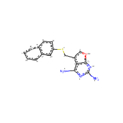 Nc1nc(N)c2c(CSc3ccc4ccccc4c3)coc2n1